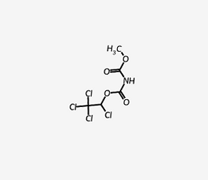 COC(=O)NC(=O)OC(Cl)C(Cl)(Cl)Cl